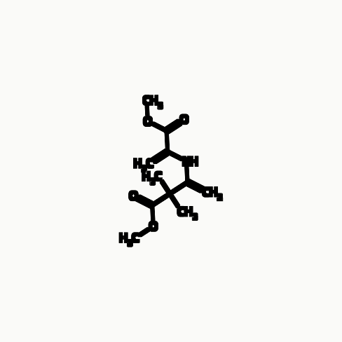 C=C(NC(=C)C(C)(C)C(=O)OC)C(=O)OC